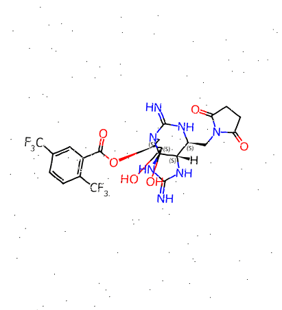 N=C1N[C@H]2[C@H](CN3C(=O)CCC3=O)NC(=N)N3C[C@H](OC(=O)c4cc(C(F)(F)F)ccc4C(F)(F)F)C(O)(O)[C@]23N1